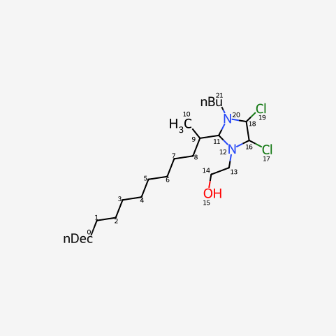 CCCCCCCCCCCCCCCCCCC(C)C1N(CCO)C(Cl)C(Cl)N1CCCC